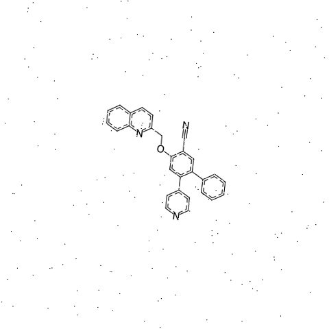 N#Cc1cc(-c2ccccc2)c(-c2ccncc2)cc1OCc1ccc2ccccc2n1